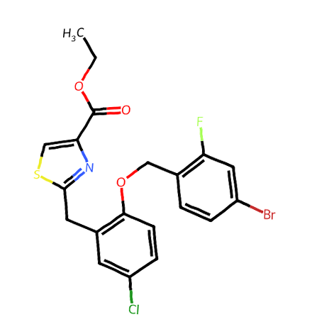 CCOC(=O)c1csc(Cc2cc(Cl)ccc2OCc2ccc(Br)cc2F)n1